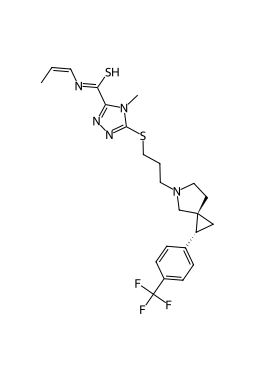 C/C=C\N=C(/S)c1nnc(SCCCN2CC[C@]3(C[C@@H]3c3ccc(C(F)(F)F)cc3)C2)n1C